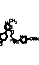 COc1ccc([C@H]2C[C@@H]2COc2nc(C)ncc2C2CCC(=O)CC2)nc1